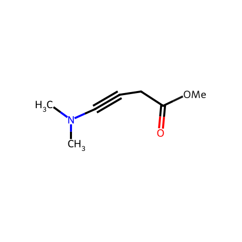 COC(=O)CC#CN(C)C